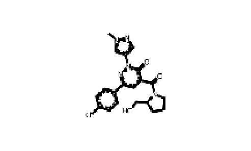 Cn1cc(-n2nc(-c3ccc(Cl)cc3)cc(C(=O)N3CCCC3CO)c2=O)cn1